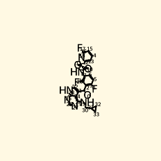 O=C(c1c(F)ccc(NS(=O)(=O)c2cccc(F)n2)c1F)c1c[nH]c2ncnc(NCC3CC3)c12